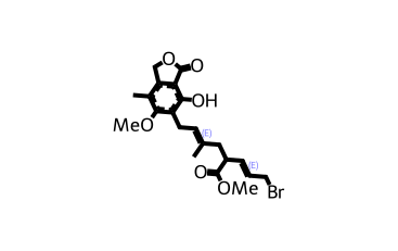 COC(=O)C(/C=C/CBr)C/C(C)=C/Cc1c(O)c2c(c(C)c1OC)COC2=O